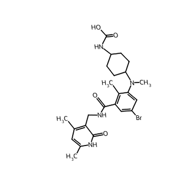 Cc1cc(C)c(CNC(=O)c2cc(Br)cc(N(C)C3CCC(NC(=O)O)CC3)c2C)c(=O)[nH]1